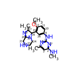 CNc1cc(C)nc(Nc2ccc(OC)c(C3C(C)N=C4CNCCN43)c2)n1